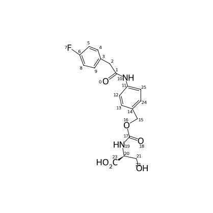 O=C(Cc1ccc(F)cc1)Nc1ccc(COC(=O)N[C@@H](CO)C(=O)O)cc1